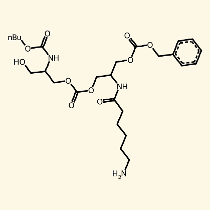 CCCCOC(=O)NC(CO)COC(=O)OCC(COC(=O)OCc1ccccc1)NC(=O)CCCCCN